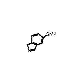 CSc1ccc2c(c1)C=NC2